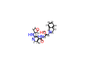 Cc1cnc(NC2CCOC2)cc1C(=O)NC[C@H](O)CN1CCc2ccccc2C1